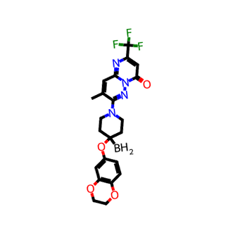 BC1(Oc2ccc3c(c2)OCCO3)CCN(c2nn3c(=O)cc(C(F)(F)F)nc3cc2C)CC1